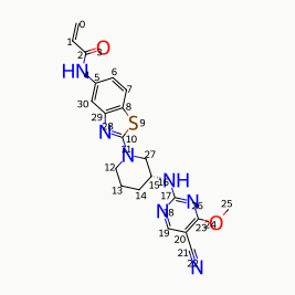 C=CC(=O)Nc1ccc2sc(N3CCC[C@@H](Nc4ncc(C#N)c(OC)n4)C3)nc2c1